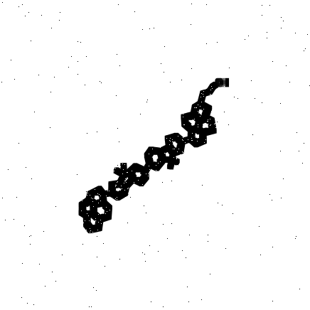 CC1(C)c2cc(-c3ccc4c(c3)C(C)(C)c3cc(-c5ccc6ccc7cc(CCCO)cc8ccc5c6c78)ccc3-4)ccc2-c2ccc(-c3ccc4ccc5cccc6ccc3c4c56)cc21